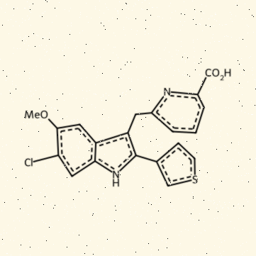 COc1cc2c(Cc3cccc(C(=O)O)n3)c(-c3ccsc3)[nH]c2cc1Cl